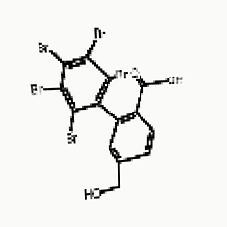 O=C(O)c1ccc(CO)cc1-c1c(Br)c(Br)c(Br)c(Br)c1Br